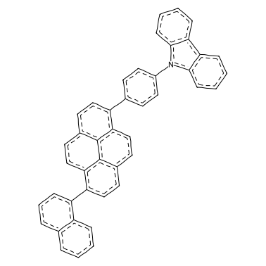 c1ccc2c(-c3ccc4ccc5c(-c6ccc(-n7c8ccccc8c8ccccc87)cc6)ccc6ccc3c4c65)cccc2c1